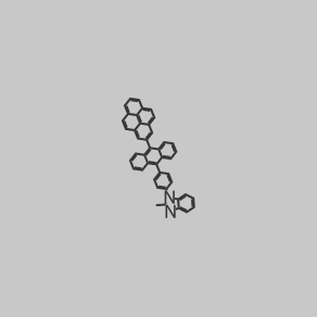 Cc1nc2ccccc2n1-c1ccc(-c2c3ccccc3c(-c3cc4ccc5cccc6ccc(c3)c4c56)c3ccccc23)cc1